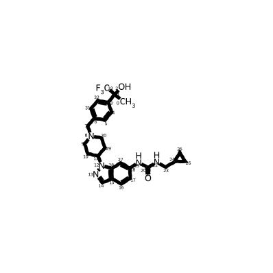 CC(O)(c1ccc(CN2CCC(n3ncc4ccc(NC(=O)NCC5CC5)cc43)CC2)cc1)C(F)(F)F